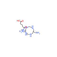 C[C@@]1(CN)CNCCNC[C@@](CN)(NC(=O)CCCC(=O)O)NCCNC1